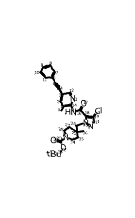 Cc1cc(C#Cc2ccccc2)cnc1NC(=O)c1c(Cl)cnn1CC1(C)CCN(C(=O)OC(C)(C)C)CC1